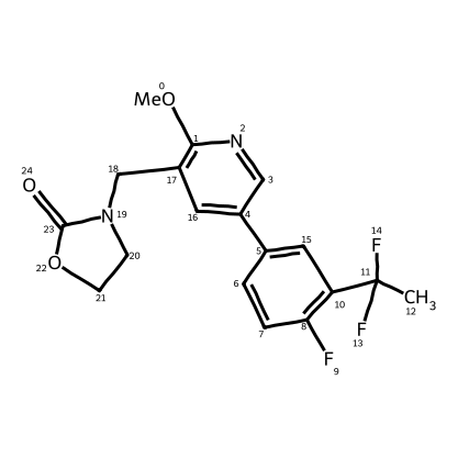 COc1ncc(-c2ccc(F)c(C(C)(F)F)c2)cc1CN1CCOC1=O